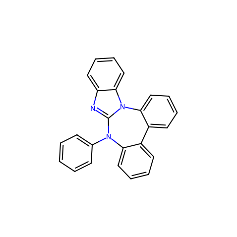 c1ccc(N2c3ccccc3-c3ccccc3-n3c2nc2ccccc23)cc1